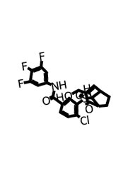 O=C(Nc1cc(F)c(F)c(F)c1)c1ccc(Cl)c(S(=O)(=O)[C@@H]2C3C=C(CO)CC2CC3)c1